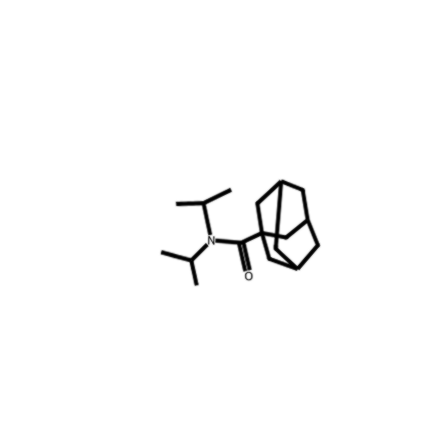 CC(C)N(C(=O)C12CC3CC(CC(C3)C1)C2)C(C)C